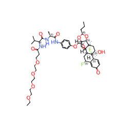 CCC[C@@H]1O[C@@H]2C[C@H]3[C@@H]4C[C@H](F)C5=CC(=O)C=C[C@]5(C)[C@@]4(F)[C@@H](O)C[C@]3(C)[C@]2(C(=O)COc2ccc(NC(=O)[C@H](C)NC(=O)[C@@H](NC(=O)CCOCCOCCOCCOCC)C(C)C)cc2)O1